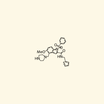 COc1ccc2c(cc(C(=O)NCc3cccs3)n2S(=O)(=O)c2ccccc2)c1CN1CCNCC1